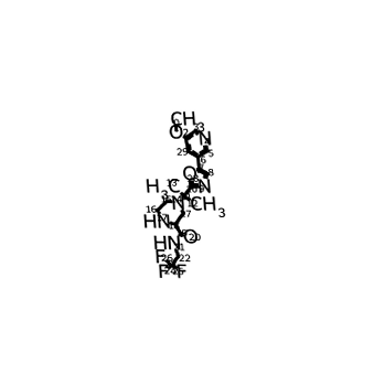 COc1cncc(-c2cnc(C(C)(C)N3CCNC(C(=O)NCC(F)(F)F)C3)o2)c1